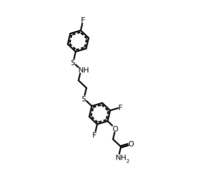 NC(=O)COc1c(F)cc(SCCNSc2ccc(F)cc2)cc1F